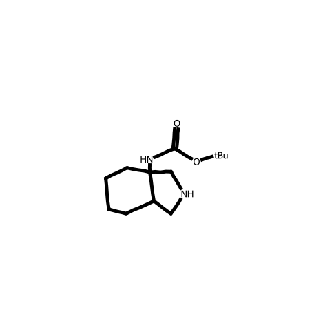 CC(C)(C)OC(=O)NC12CCCCC1CNC2